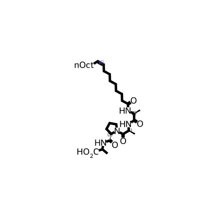 CCCCCCCC/C=C\CCCCCCCC(=O)N[C@@H](C)C(=O)N[C@@H](C)C(=O)N1CCC[C@H]1C(=O)NC(C)C(=O)O